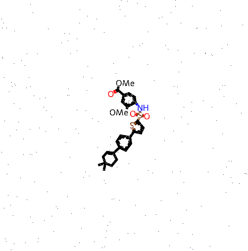 COC(=O)c1ccc(NS(=O)(=O)c2ccc(-c3ccc(C4=CCC(C)(C)CC4)cc3)s2)c(OC)c1